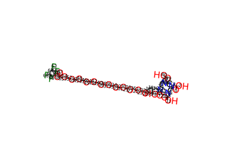 O=C(O)CN1CCN(CC(=O)O)CCN(C(Cc2ccc(OCCOCCOCCOCCOCCOCCOCCOCCOCCOCCOCCOCC(=O)Oc3c(F)c(F)cc(F)c3F)cc2)C(=O)O)CCN(CC(=O)O)CC1